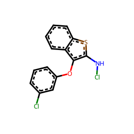 ClNc1sc2ccccc2c1Oc1cccc(Cl)c1